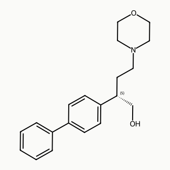 OC[C@@H](CCN1CCOCC1)c1ccc(-c2ccccc2)cc1